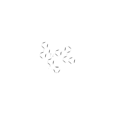 c1ccc(-c2cccc3ccccc23)c(-c2ccc(N(c3ccc4oc5ccccc5c4c3)c3cc4ccccc4c4ccccc34)cc2)c1